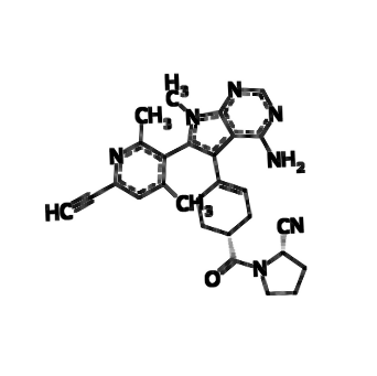 C#Cc1cc(C)c(-c2c(C3=CC[C@H](C(=O)N4CCC[C@H]4C#N)CC3)c3c(N)ncnc3n2C)c(C)n1